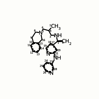 C=C(NCC(C)CN1CCc2ccccc2C1)c1ccnc(Nc2cccnc2)c1